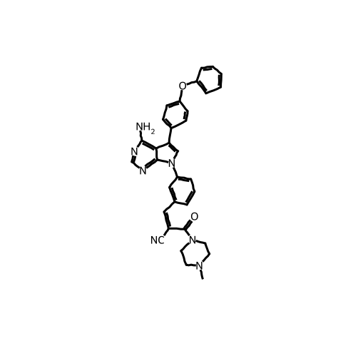 CN1CCN(C(=O)/C(C#N)=C\c2cccc(-n3cc(-c4ccc(Oc5ccccc5)cc4)c4c(N)ncnc43)c2)CC1